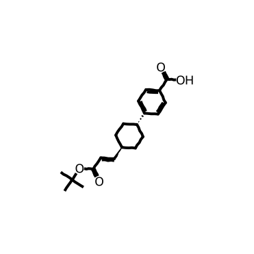 CC(C)(C)OC(=O)C=C[C@H]1CC[C@H](c2ccc(C(=O)O)cc2)CC1